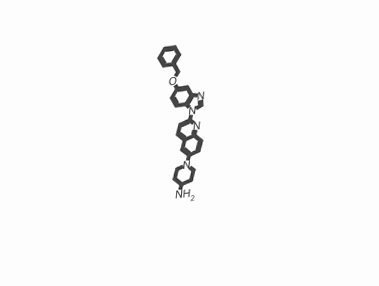 NC1CCN(c2ccc3nc(-n4cnc5cc(OCc6ccccc6)ccc54)ccc3c2)CC1